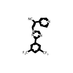 N#C/C(=C/n1cnc(-c2cc(C(F)(F)F)cc(C(F)(F)F)c2)n1)c1ccncc1